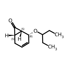 CCC(CC)O[C@@H]1C=CC[C@@H]2C(=O)[C@@H]21